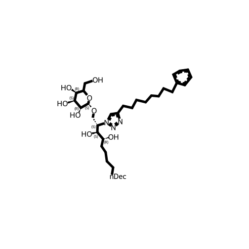 CCCCCCCCCCCCCC[C@@H](O)[C@@H](O)[C@H](CO[C@H]1OC(CO)[C@H](O)[C@H](O)[C@H]1O)n1cc(CCCCCCCCc2ccccc2)nn1